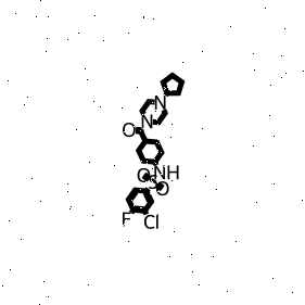 O=C(C1CCC(NS(=O)(=O)c2ccc(F)c(Cl)c2)CC1)N1CCN(C2CCCC2)CC1